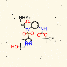 CC(=O)NC[C@H]1CN(S(=O)(=O)c2cnn(CC(C)(C)O)c2C)c2cc(NC(=O)OC(C)(C)C(F)(F)F)ccc2O1